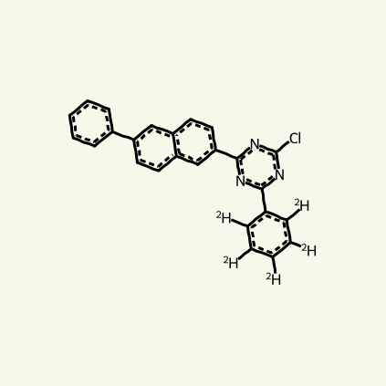 [2H]c1c([2H])c([2H])c(-c2nc(Cl)nc(-c3ccc4cc(-c5ccccc5)ccc4c3)n2)c([2H])c1[2H]